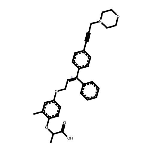 Cc1cc(OC/C=C(\c2ccccc2)c2ccc(C#CCN3CCOCC3)cc2)ccc1OC(C)C(=O)O